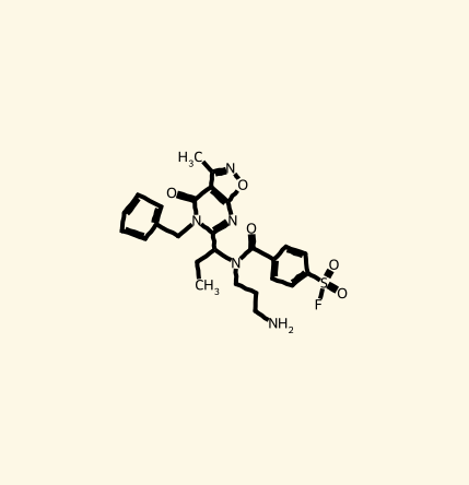 CCC(c1nc2onc(C)c2c(=O)n1Cc1ccccc1)N(CCCN)C(=O)c1ccc(S(=O)(=O)F)cc1